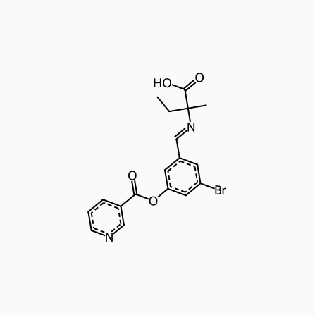 CCC(C)(N=Cc1cc(Br)cc(OC(=O)c2cccnc2)c1)C(=O)O